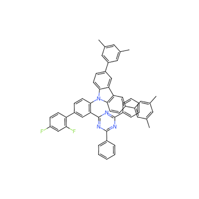 Cc1cc(C)cc(-c2ccc3c(c2)c2cc(-c4cc(C)cc(C)c4)ccc2n3-c2ccc(-c3ccc(F)cc3F)cc2-c2nc(-c3ccccc3)nc(-c3ccccc3)n2)c1